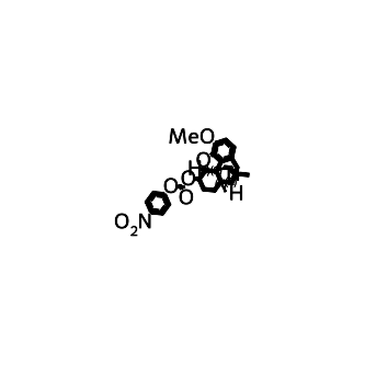 COc1ccc2c3c1O[C@H]1C(OC(=O)Oc4ccc([N+](=O)[O-])cc4)CC[C@@]4(C)[C@@H](C2)N(C)CC[C@]314